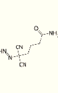 N#CC(C#N)(CCCC(N)=O)N=N